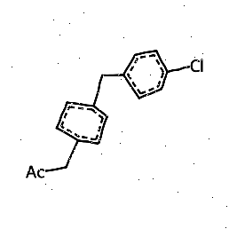 CC(=O)Cc1ccc(Cc2ccc(Cl)cc2)cc1